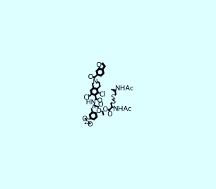 CC(=O)N[C@H](C)CSSC[C@H](NC(C)=O)C(=O)OC(C)OC(=O)[C@H](Cc1cccc(S(C)(=O)=O)c1)NC(=O)c1c(Cl)cc2c(c1Cl)CCN(C(=O)c1ccc3ccoc3c1)C2